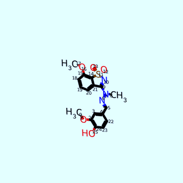 COc1cc(/C=N/N(C)C2=NS(=O)(=O)c3c(OC)cccc32)ccc1O